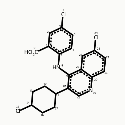 O=C(O)c1cc(Cl)ccc1Nc1c(C2CCC(Cl)CC2)cnc2ccc(Cl)cc12